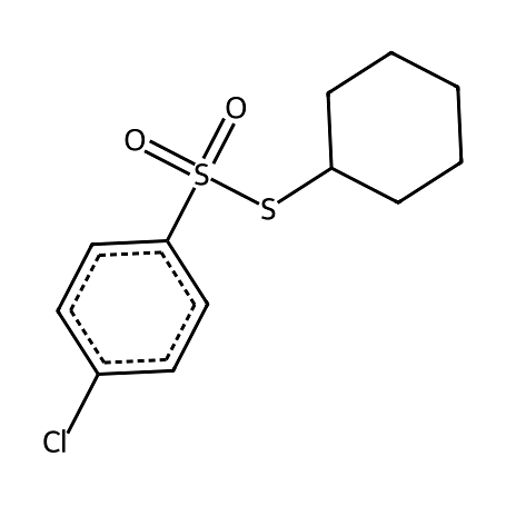 O=S(=O)(SC1CCCCC1)c1ccc(Cl)cc1